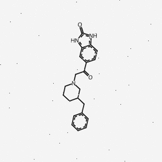 O=C(CN1CCCC(Cc2ccccc2)C1)c1ccc2[nH]c(=O)[nH]c2c1